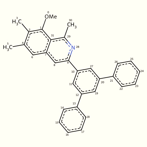 COc1c(C)c(C)cc2cc(-c3cc(-c4ccccc4)cc(-c4ccccc4)c3)nc(C)c12